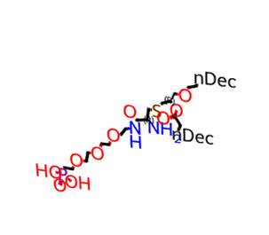 CCCCCCCCCCCCOC[C@H](CSC[C@H](N)C(=O)NCCOCCOCCOCCP(=O)(O)O)OC(=O)CCCCCCCCCCC